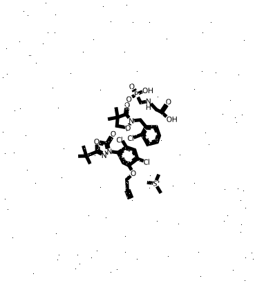 C#CCOc1cc(-n2nc(C(C)(C)C)oc2=O)c(Cl)cc1Cl.CC1(C)CON(Cc2ccccc2Cl)C1=O.C[S+](C)C.O=C(O)CNCP(=O)([O-])O